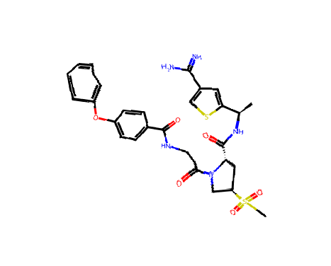 C[C@@H](NC(=O)[C@@H]1C[C@@H](S(C)(=O)=O)CN1C(=O)CNC(=O)c1ccc(Oc2ccccc2)cc1)c1cc(C(=N)N)cs1